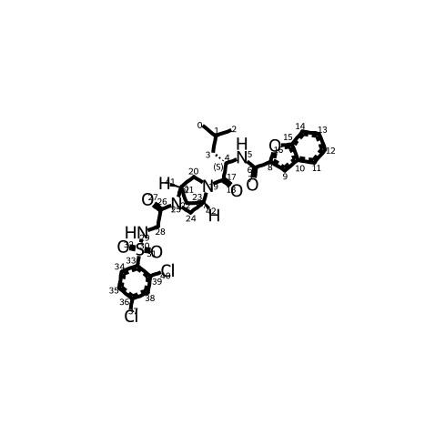 CC(C)C[C@H](NC(=O)c1cc2ccccc2o1)C(=O)N1C[C@@H]2C[C@H]1CN2C(=O)CNS(=O)(=O)c1ccc(Cl)cc1Cl